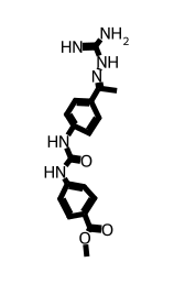 COC(=O)c1ccc(NC(=O)Nc2ccc(/C(C)=N/NC(=N)N)cc2)cc1